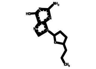 CCCC1CCC(n2cnc3c(O)nc(N)nc32)O1